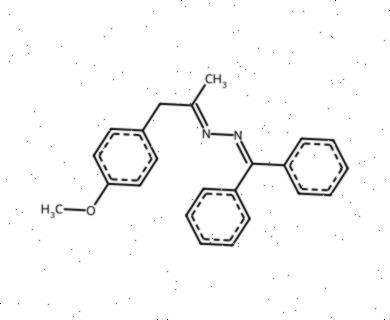 COc1ccc(CC(C)=NN=C(c2ccccc2)c2ccccc2)cc1